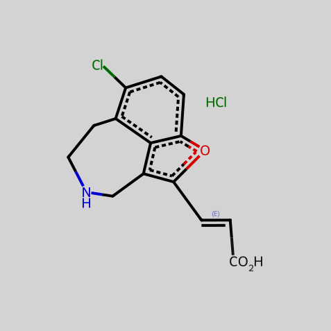 Cl.O=C(O)/C=C/c1oc2ccc(Cl)c3c2c1CNCC3